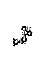 Cc1cc(C)nc(N2C[C@@H]3CCN(C(=O)c4cccc(F)c4-c4ncccn4)C[C@@H]32)c1